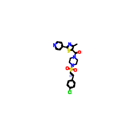 Cc1nc(-c2ccncc2)sc1C(=O)N1CCN(S(=O)(=O)/C=C/c2ccc(Cl)cc2)CC1